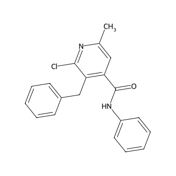 Cc1cc(C(=O)Nc2ccccc2)c(Cc2ccccc2)c(Cl)n1